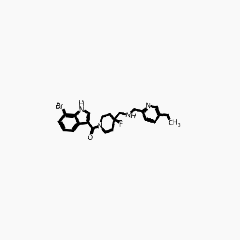 CCc1ccc(CNCC2(F)CCN(C(=O)c3c[nH]c4c(Br)cccc34)CC2)nc1